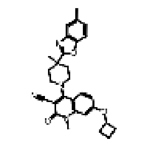 Cc1ccc2oc(C3(C)CCN(c4c(C#N)c(=O)n(C)c5cc(OC6CCC6)ccc45)CC3)nc2c1